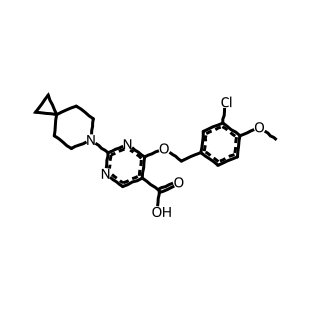 COc1ccc(COc2nc(N3CCC4(CC3)CC4)ncc2C(=O)O)cc1Cl